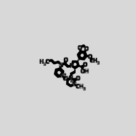 CCCCN(C(=O)CN1C[C@H](c2cc(OC)c3c(c2)OCO3)[C@@H](C(=O)O)[C@@H]1CCN1CCCN(C)C1=O)c1ccc[n+](C)c1